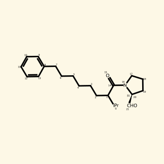 CC(C)C(CCCCCCc1ccccc1)C(=O)N1CCC[C@H]1C=O